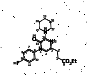 CCOC(=O)CCc1cn(-c2ccc(F)cc2)c(=O)c(N2CCCCC2)n1